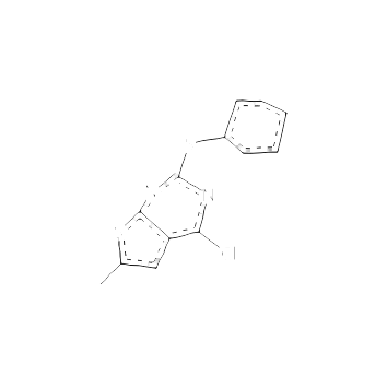 Cc1cc2c(Cl)nc(Sc3ccccc3)nc2s1